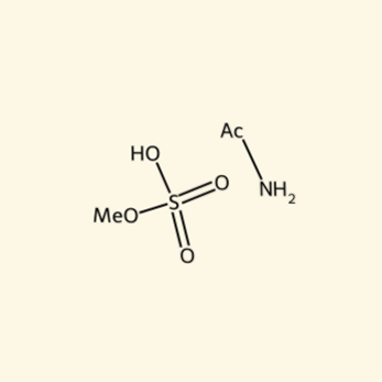 CC(N)=O.COS(=O)(=O)O